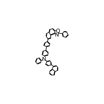 c1ccc(-c2nc3c(ccc4ccc(-c5ccc(-c6ccc(N(c7ccccc7)c7ccc(-c8cccc9ccccc89)cc7)cc6)cc5)cc43)o2)cc1